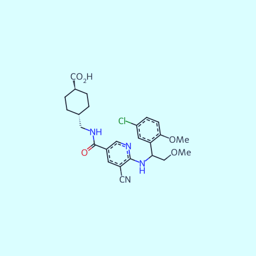 COCC(Nc1ncc(C(=O)NC[C@H]2CC[C@H](C(=O)O)CC2)cc1C#N)c1cc(Cl)ccc1OC